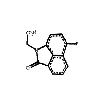 O=C(O)CN1C(=O)c2cccc3c(F)ccc1c23